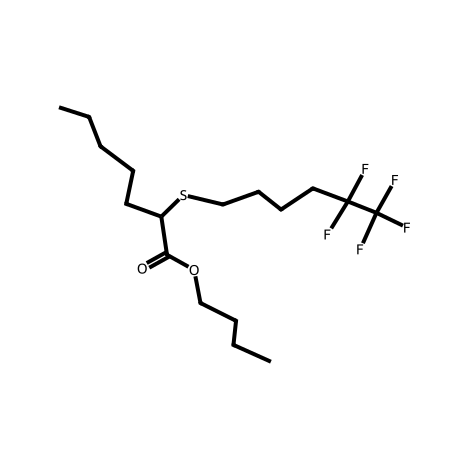 CCCCCC(SCCCCC(F)(F)C(F)(F)F)C(=O)OCCCC